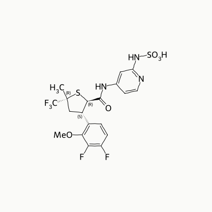 COc1c([C@@H]2C[C@](C)(C(F)(F)F)S[C@H]2C(=O)Nc2ccnc(NS(=O)(=O)O)c2)ccc(F)c1F